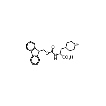 O=C(NC(CC1CCNCC1)C(=O)O)OCC1c2ccccc2-c2ccccc21